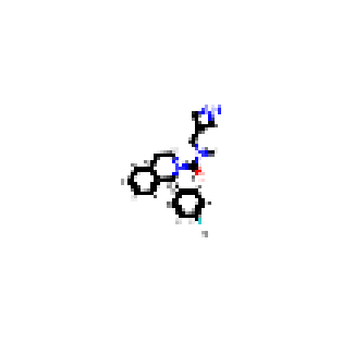 CN(CC1CNC1)C(=O)N1CCc2ccccc2[C@@H]1c1ccc(F)cc1